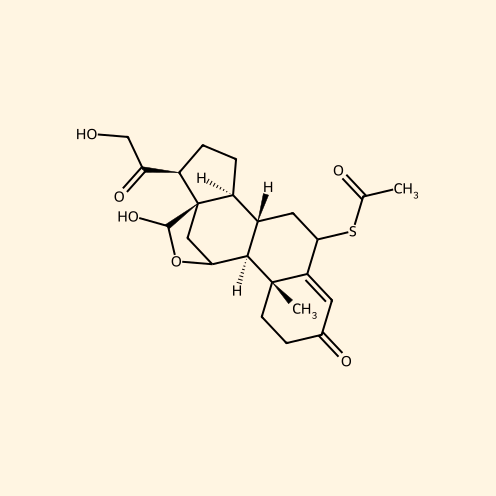 CC(=O)SC1C[C@H]2[C@@H]3CC[C@H](C(=O)CO)[C@@]34CC(OC4O)[C@@H]2[C@@]2(C)CCC(=O)C=C12